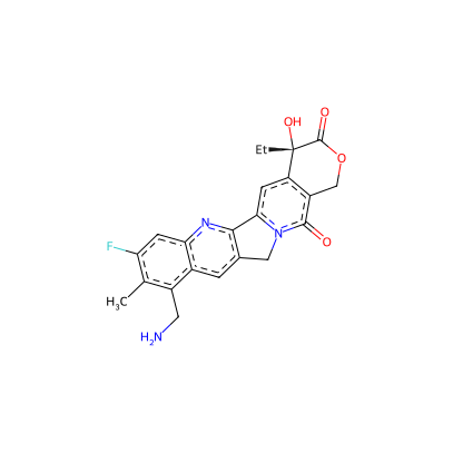 CC[C@@]1(O)C(=O)OCc2c1cc1n(c2=O)Cc2cc3c(CN)c(C)c(F)cc3nc2-1